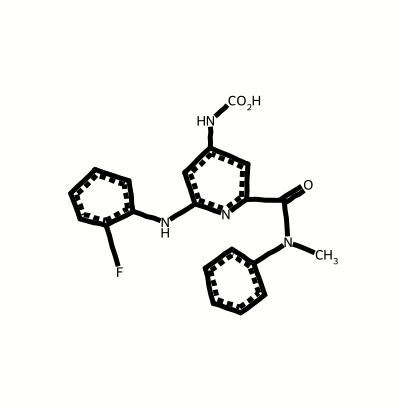 CN(C(=O)c1cc(NC(=O)O)cc(Nc2ccccc2F)n1)c1ccccc1